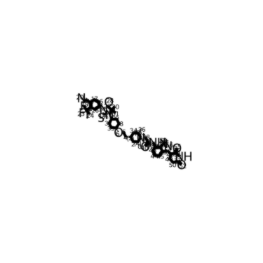 C[C@@H]1C[C@@H](CCO[C@H]2CC[C@H](N3C(=S)N(c4ccc(C#N)c(C(F)(F)F)c4)C(=O)C3(C)C)CC2)C[C@H](C)N1CC(=O)Nc1cccc2c(C3CCC(=O)NC3=O)nn(C)c12